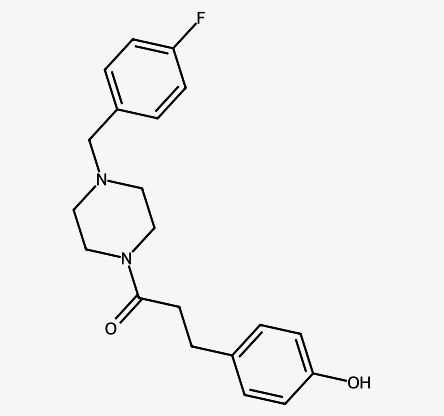 O=C(CCc1ccc(O)cc1)N1CCN(Cc2ccc(F)cc2)CC1